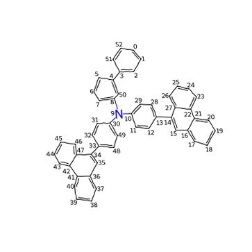 c1ccc(-c2cccc(N(c3ccc(-c4cc5ccccc5c5ccccc45)cc3)c3ccc(-c4cc5ccccc5c5ccccc45)cc3)c2)cc1